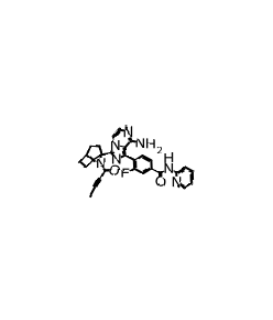 CC#CC(=O)N1C2(c3nc(-c4ccc(C(=O)Nc5ccccn5)cc4F)c4c(N)nccn34)CCC3CCC312